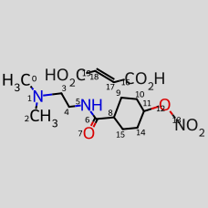 CN(C)CCNC(=O)C1CCC(O[N+](=O)[O-])CC1.O=C(O)C=CC(=O)O